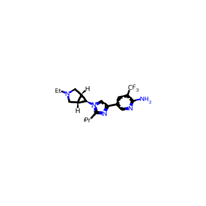 CCN1C[C@@H]2[C@H](C1)[C@H]2n1cc(-c2cnc(N)c(C(F)(F)F)c2)nc1C(C)C